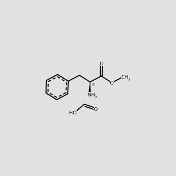 COC(=O)[C@@H](N)Cc1ccccc1.O=CO